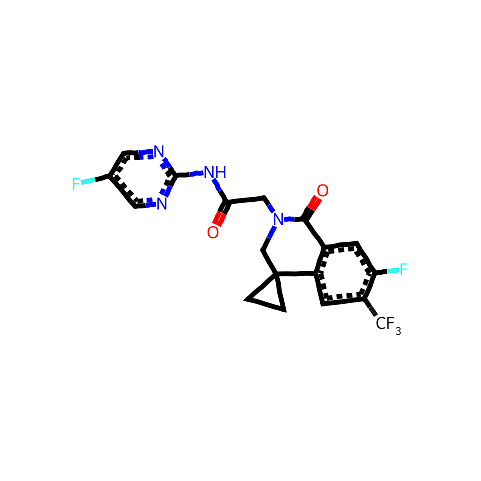 O=C(CN1CC2(CC2)c2cc(C(F)(F)F)c(F)cc2C1=O)Nc1ncc(F)cn1